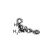 Cn1nc(C(=O)NC2CCN(CCN3CCOCC3)CC2)c2ccc(NC3CCCCCCC3)nc21